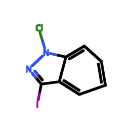 Cln1nc(I)c2ccccc21